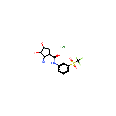 Cl.NC1C(C(=O)Nc2cccc(S(=O)(=O)C(F)(F)F)c2)CC(O)C1O